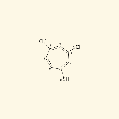 SC1=CC(Cl)=C=C(Cl)C=C1